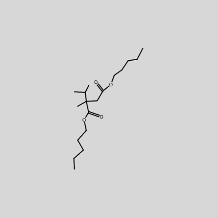 CCCCCOC(=O)CC(C)(C(=O)OCCCCC)C(C)C